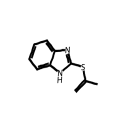 C=C(C)Sc1nc2ccccc2[nH]1